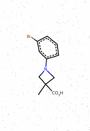 CC1(C(=O)O)CN(c2cccc(Br)c2)C1